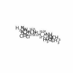 CC(C)(C)OC(=O)NC1CCC(CCN2CCN(c3nc(N)nc(Cl)c3Cl)CC2)CC1